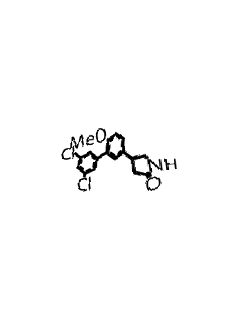 COc1ccc(C2CNC(=O)C2)cc1-c1cc(Cl)cc(Cl)c1